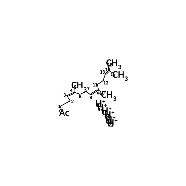 CC(=O)CCC=C(C)CCC=C(C)CCC=C(C)C.[H+].[H+].[H+].[H+].[H+].[H+]